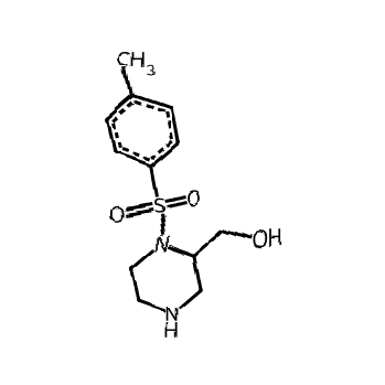 Cc1ccc(S(=O)(=O)N2CCNCC2CO)cc1